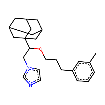 Cc1cccc(CCCOC(Cn2ccnc2)C23CC4CC(CC(C4)C2)C3)c1